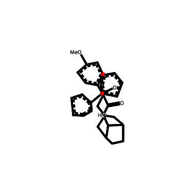 COc1ccc(C(O)(C(=O)NC2C3CCC2CN(Cc2ccccc2)C3)c2ccccc2)cc1